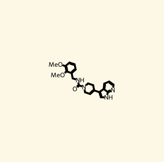 COc1cccc(CNC(=O)N2CC=C(c3c[nH]c4ncccc34)CC2)c1OC